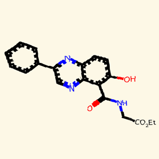 CCOC(=O)CNC(=O)c1c(O)ccc2nc(-c3ccccc3)cnc12